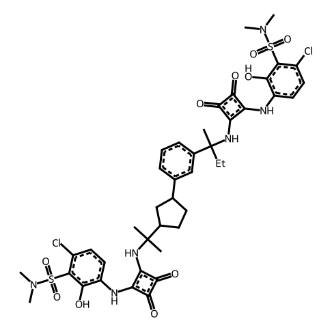 CCC(C)(Nc1c(Nc2ccc(Cl)c(S(=O)(=O)N(C)C)c2O)c(=O)c1=O)c1cccc(C2CCC(C(C)(C)Nc3c(Nc4ccc(Cl)c(S(=O)(=O)N(C)C)c4O)c(=O)c3=O)C2)c1